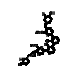 COc1nc(-c2cccc(-c3cccc(-c4cnc(CN5CC[C@@H](O)[C@H](F)C5)c(OC)n4)c3Cl)c2Cl)cnc1CNC[C@@H]1CCC(=O)N1